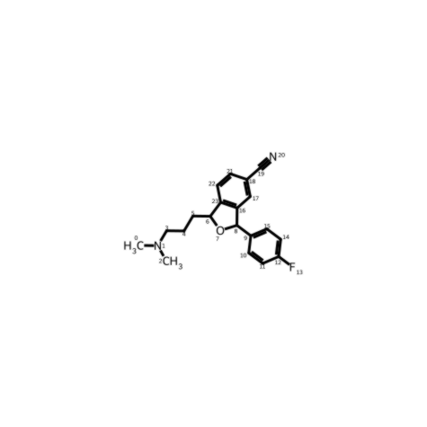 CN(C)CCCC1OC(c2ccc(F)cc2)c2cc(C#N)ccc21